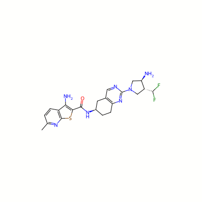 Cc1ccc2c(N)c(C(=O)N[C@@H]3CCc4nc(N5C[C@@H](N)[C@H](C(F)F)C5)ncc4C3)sc2n1